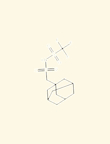 O=S(=O)(CC12CC3CC(CC(C3)C1)C2)NS(=O)(=O)C(F)(F)F